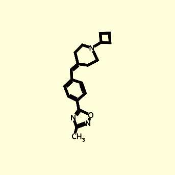 Cc1noc(-c2ccc(C=C3CCN(C4CCC4)CC3)cc2)n1